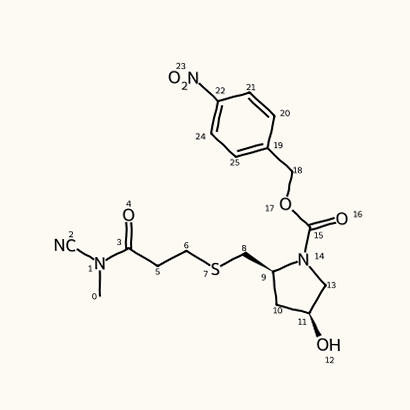 CN(C#N)C(=O)CCSC[C@@H]1C[C@H](O)CN1C(=O)OCc1ccc([N+](=O)[O-])cc1